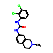 CN1CCc2ccc(NC(=O)Nc3cccc(Cl)c3Cl)cc2C1